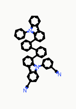 N#Cc1cccc(-n2c3ccc(C#N)cc3c3cccc(-c4ccccc4-c4ccccc4-c4cccc5c6ccccc6n(-c6ccccc6)c45)c32)c1